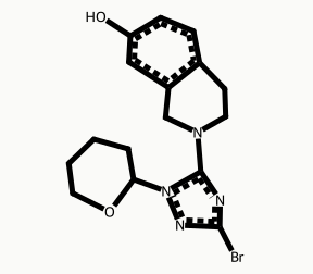 Oc1ccc2c(c1)CN(c1nc(Br)nn1C1CCCCO1)CC2